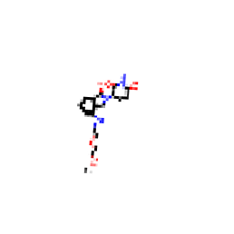 CCOCCOCCNc1cccc2c1CN(C1CCC(=O)NC1=O)C2=O